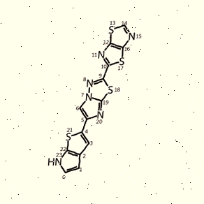 c1cc2cc(-c3cn4nc(-c5nc6scnc6s5)sc4n3)sc2[nH]1